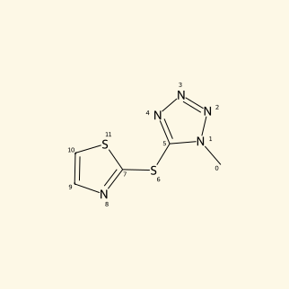 Cn1nnnc1Sc1nccs1